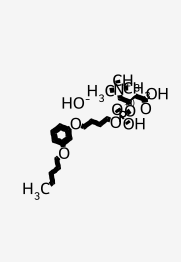 CCCCCOc1cccc(OCCCCOP(=O)(O)O[C@H](CC(=O)O)C[N+](C)(C)C)c1.[OH-]